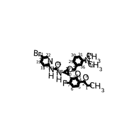 CCC(=O)c1ccc(F)c([C@H]2C[C@H]2NC(=O)Nc2ccc(Br)cn2)c1OC(=O)c1cccc(N(C)C)c1